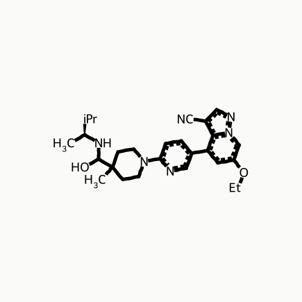 CCOc1cc(-c2ccc(N3CCC(C)(C(O)N[C@@H](C)C(C)C)CC3)nc2)c2c(C#N)cnn2c1